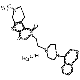 CN1CCc2c(sc3ncn(CCN4CCN(c5cccc6ccccc56)CC4)c(=O)c23)C1.Cl.Cl